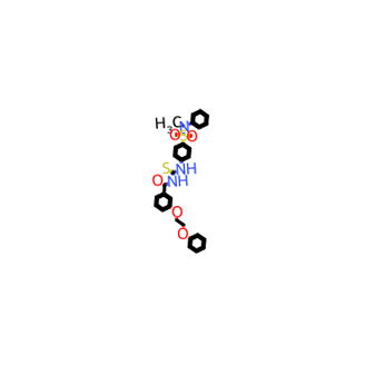 CN(c1ccccc1)S(=O)(=O)c1ccc(NC(=S)NC(=O)c2cccc(OCCOc3ccccc3)c2)cc1